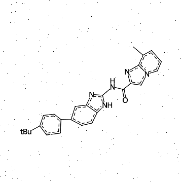 Cc1cccn2cc(C(=O)Nc3nc4cc(-c5ccc(C(C)(C)C)cc5)ccc4[nH]3)nc12